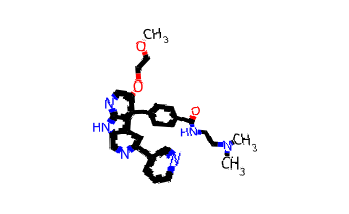 COCCOc1cnc2[nH]c3cnc(-c4cccnc4)cc3c2c1-c1ccc(C(=O)NCCN(C)C)cc1